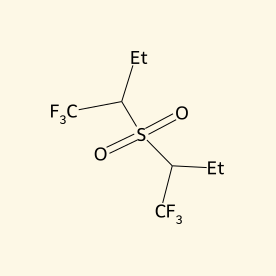 CCC(C(F)(F)F)S(=O)(=O)C(CC)C(F)(F)F